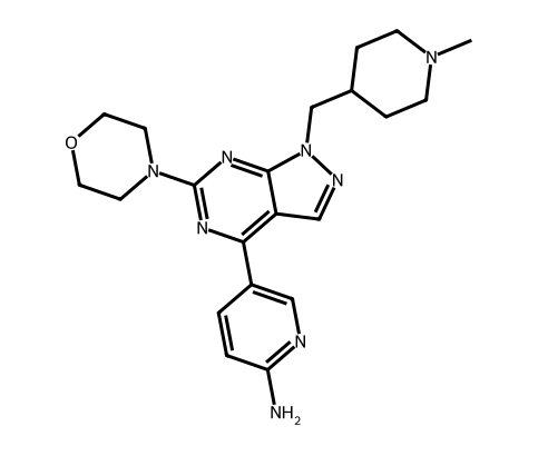 CN1CCC(Cn2ncc3c(-c4ccc(N)nc4)nc(N4CCOCC4)nc32)CC1